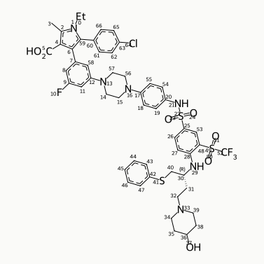 CCn1c(C)c(C(=O)O)c(-c2cc(F)cc(N3CCN(c4ccc(NS(=O)(=O)c5ccc(N[C@H](CCN6CCC(O)CC6)CSc6ccccc6)c(S(=O)(=O)C(F)(F)F)c5)cc4)CC3)c2)c1-c1ccc(Cl)cc1